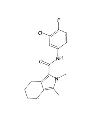 Cc1c2c(c(C(=O)Nc3ccc(F)c(Cl)c3)n1C)CCC[CH]2